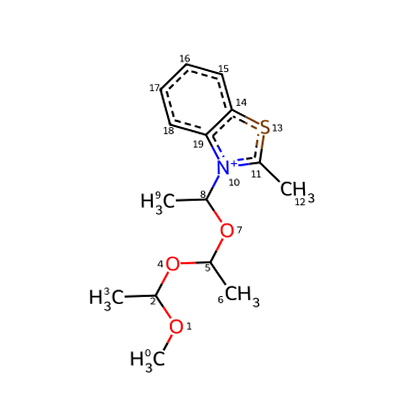 COC(C)OC(C)OC(C)[n+]1c(C)sc2ccccc21